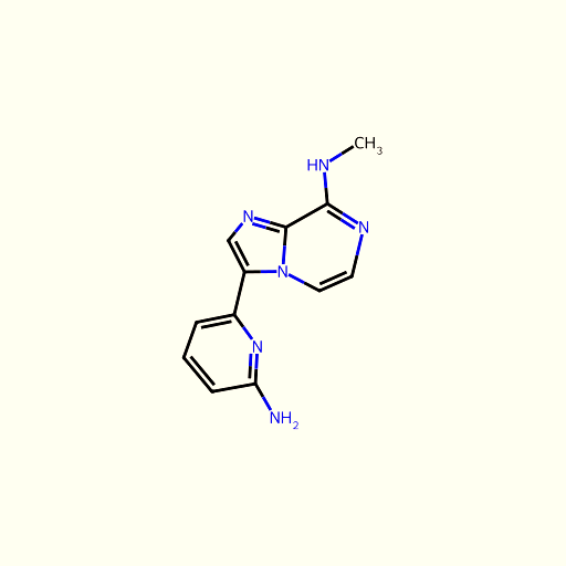 CNc1nccn2c(-c3cccc(N)n3)cnc12